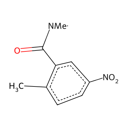 C[N]C(=O)c1cc([N+](=O)[O-])ccc1C